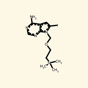 C[Si](C)(C)CCOCn1c(I)cc2c(N)ncnc21